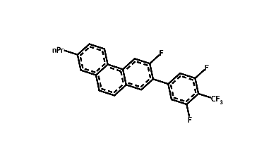 CCCc1ccc2c(ccc3cc(-c4cc(F)c(C(F)(F)F)c(F)c4)c(F)cc32)c1